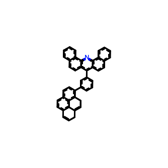 C1=Cc2ccc3ccc(-c4cccc(-c5c6ccc7ccccc7c6nc6c5ccc5ccccc56)c4)c4c3c2C(=CC4)C1